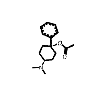 CC(=O)O[C@]1(c2ccccc2)CC[C@H](N(C)C)CC1